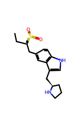 CCC(Cc1ccc2[nH]cc(C[C@H]3CCCN3)c2c1)=S(=O)=O